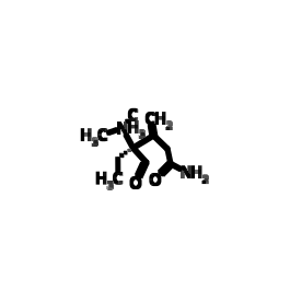 C=C(CC(N)=O)[C@](C=O)(CC)N(C)C